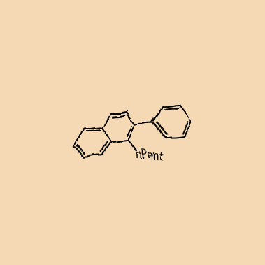 [CH2]CCCCc1c(-c2ccccc2)ccc2ccccc12